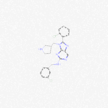 Clc1cccc(CNc2ncc3nc(-c4ccccc4Cl)n(CC4CCNC4)c3n2)c1